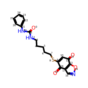 O=C(NCCCCCSC1=CC(=O)c2oncc2C1=O)Nc1ccccc1